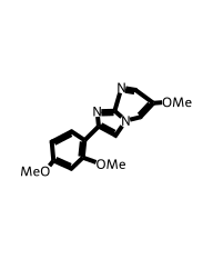 COc1ccc(-c2cn3cc(OC)cnc3n2)c(OC)c1